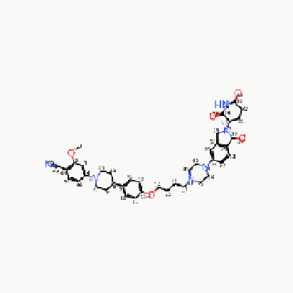 COc1cc(N2CCC(c3ccc(OCCCCN4CCN(c5ccc6c(c5)CN(C5CCC(=O)NC5=O)C6=O)CC4)cc3)CC2)ccc1C#N